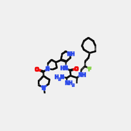 CC(NCC(F)CCC1CCCCCCC1)C(C(=O)NC1=C(C2CCN(C(=O)C3CCN(C)CC3)CC2)CCNC1)C(N)N